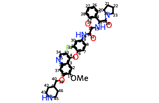 COc1cc2c(Oc3ccc(NC(=O)C(=O)NC(C(=O)N4CCCC4)c4ccccc4)cc3F)ccnc2cc1OCC1CCNCC1